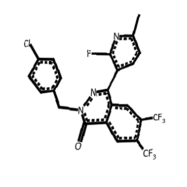 Cc1ccc(-c2nn(Cc3ccc(Cl)cc3)c(=O)c3cc(C(F)(F)F)c(C(F)(F)F)cc23)c(F)n1